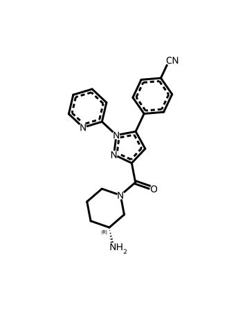 N#Cc1ccc(-c2cc(C(=O)N3CCC[C@@H](N)C3)nn2-c2ccccn2)cc1